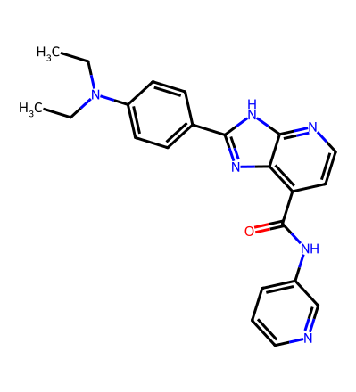 CCN(CC)c1ccc(-c2nc3c(C(=O)Nc4cccnc4)ccnc3[nH]2)cc1